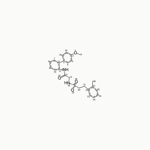 COc1ccc(-c2ccccc2NC(=O)CNS(=O)(=O)CCc2ccccc2C)cc1